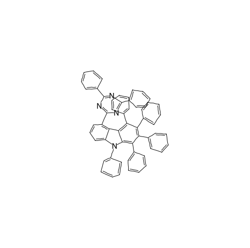 c1ccc(-c2nc(-c3ccccc3)nc(-c3cccc4c3c3c(-c5ccccc5)c(-c5ccccc5)c(-c5ccccc5)c(-c5ccccc5)c3n4-c3ccccc3)n2)cc1